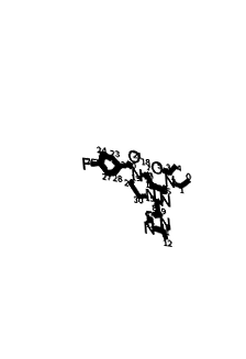 CCN(C(C)=O)c1nc(-c2nc(C)ns2)n2c1[C@@H](C)N(C(=O)c1ccc(F)cc1)CC2